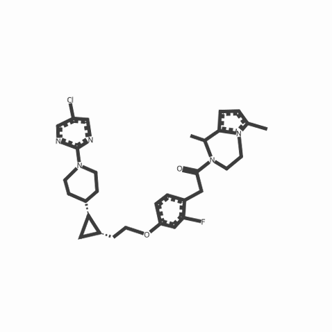 Cc1ccc2n1CCN(C(=O)Cc1ccc(OCC[C@@H]3C[C@@H]3C3CCN(c4ncc(Cl)cn4)CC3)cc1F)C2C